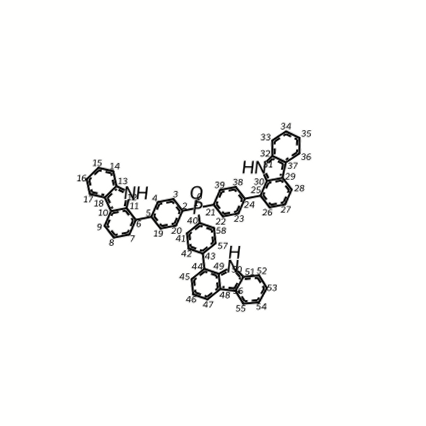 O=P(c1ccc(-c2cccc3c2[nH]c2ccccc23)cc1)(c1ccc(-c2cccc3c2[nH]c2ccccc23)cc1)c1ccc(-c2cccc3c2[nH]c2ccccc23)cc1